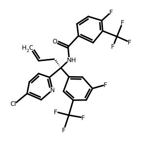 C=CC[C@](NC(=O)c1ccc(F)c(C(F)(F)F)c1)(c1cc(F)cc(C(F)(F)F)c1)c1ccc(Cl)cn1